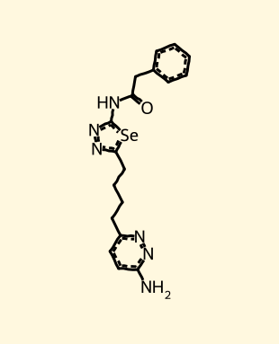 Nc1ccc(CCCCc2nnc(NC(=O)Cc3ccccc3)[se]2)nn1